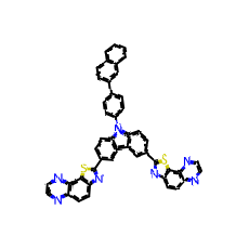 c1ccc2cc(-c3ccc(-n4c5ccc(-c6nc7ccc8nccnc8c7s6)cc5c5cc(-c6nc7ccc8nccnc8c7s6)ccc54)cc3)ccc2c1